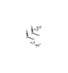 O.O.O.O=N[O-].O=N[O-].[Mg+2]